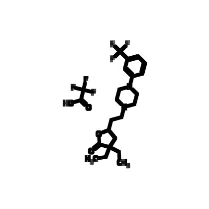 CCC1(CC)CC(CCN2CCN(c3cccc(C(F)(F)F)c3)CC2)OC1=O.O=C(O)C(F)(F)F